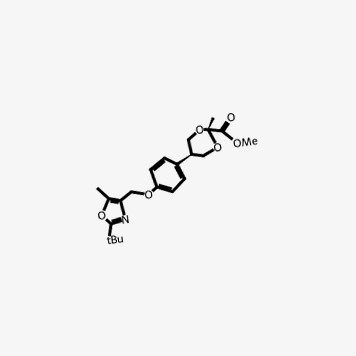 COC(=O)[C@]1(C)OC[C@@H](c2ccc(OCc3nc(C(C)(C)C)oc3C)cc2)CO1